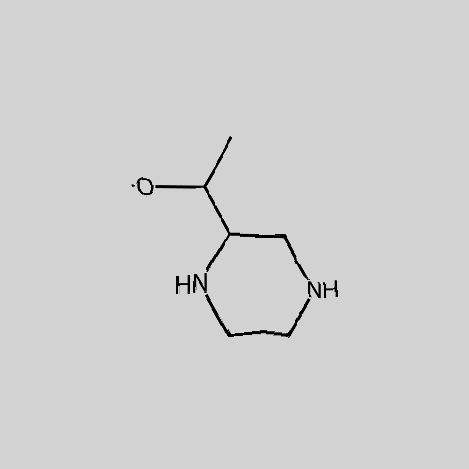 CC([O])C1CNCCN1